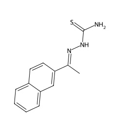 CC(=NNC(N)=S)c1ccc2ccccc2c1